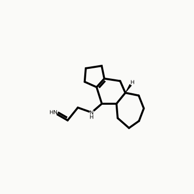 N=CCNC1C2=C(CCC2)C[C@@H]2CCCCCC12